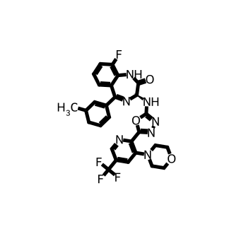 CC1C=C(C2=N[C@H](Nc3nnc(-c4ncc(C(F)(F)F)cc4N4CCOCC4)o3)C(=O)Nc3c(F)cccc32)C=CC1